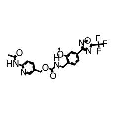 COc1cc(-c2noc(C(F)(F)F)n2)ccc1CNC(=O)OCc1ccc(NC(C)=O)nc1